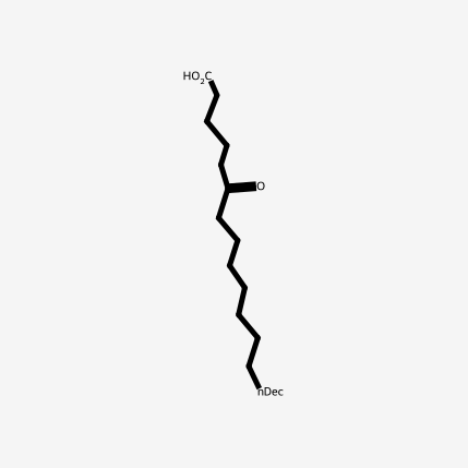 CCCCCCCCCCCCCCCCCC(=O)CCCCC(=O)O